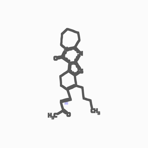 CCCCC1=C(/C=C/C(C)=O)CCc2c1sc1nc3n(c(=O)c21)CCCCC3